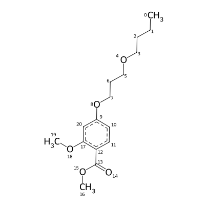 CCCCOCCCOc1ccc(C(=O)OC)c(OC)c1